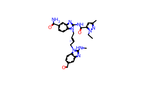 CCn1nc(C)cc1C(=O)Nc1nc2cc(C(N)=O)ccc2n1C/C=C/Cn1c(NC)nc2cc(C=O)ccc21